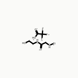 CCNCC(=O)NCCO.O=C(O)C(F)(F)F